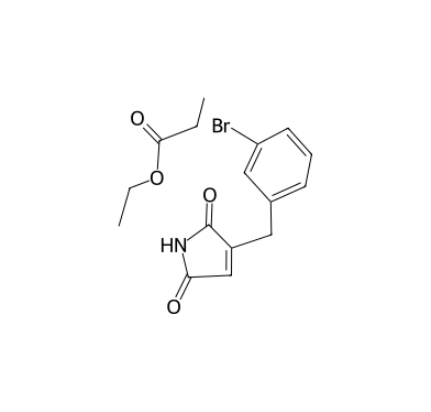 CCOC(=O)CC.O=C1C=C(Cc2cccc(Br)c2)C(=O)N1